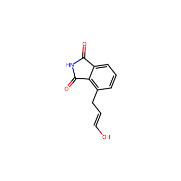 O=C1NC(=O)c2c(CC=CO)cccc21